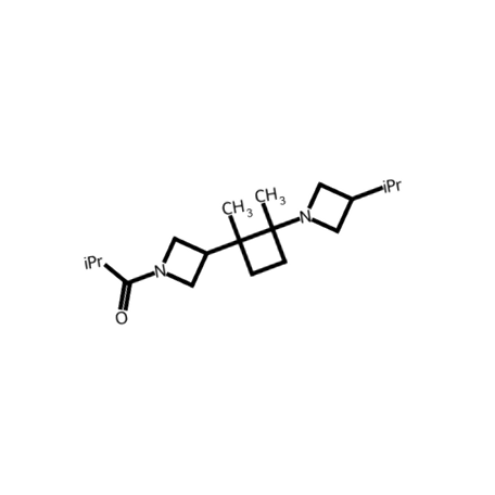 CC(C)C(=O)N1CC(C2(C)CCC2(C)N2CC(C(C)C)C2)C1